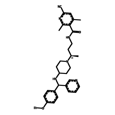 CCOc1ccc(C(NC2CCN([C@H](C)CCNC(=O)c3c(C)cc(C#N)nc3C)CC2)c2cccnc2)cc1